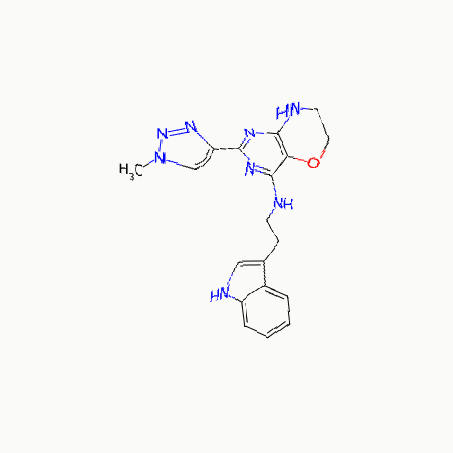 Cn1cc(-c2nc3c(c(NCCc4c[nH]c5ccccc45)n2)OCCN3)nn1